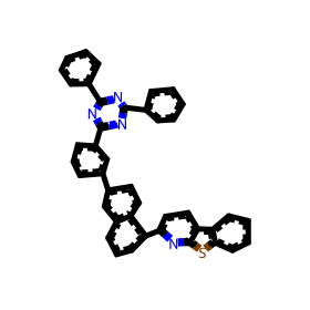 c1ccc(-c2nc(-c3ccccc3)nc(-c3cccc(-c4ccc5c(-c6ccc7c(n6)sc6ccccc67)cccc5c4)c3)n2)cc1